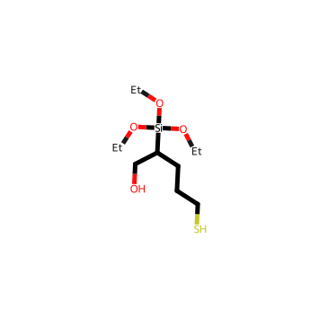 CCO[Si](OCC)(OCC)C(CO)CCCS